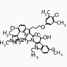 COc1ccc2c(c1)c(C(=O)O)c(N1C[C@@H](C)n3c(c(CCCOc4cc(C)c(Cl)c(C)c4)c4ccc(Cl)c(-c5c(C)nn(C)c5C)c43)C1=O)n2C